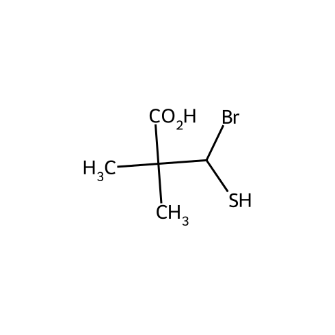 CC(C)(C(=O)O)C(S)Br